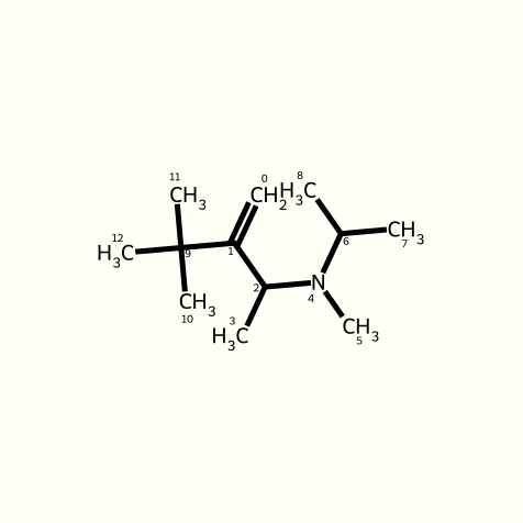 C=C(C(C)N(C)C(C)C)C(C)(C)C